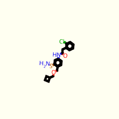 NSc1cc(NC(=O)Cc2ccccc2Cl)ccc1COCC1CCC1